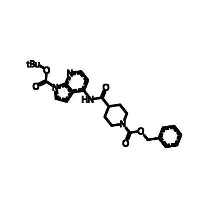 CC(C)(C)OC(=O)n1ccc2c(NC(=O)C3CCN(C(=O)OCc4ccccc4)CC3)ccnc21